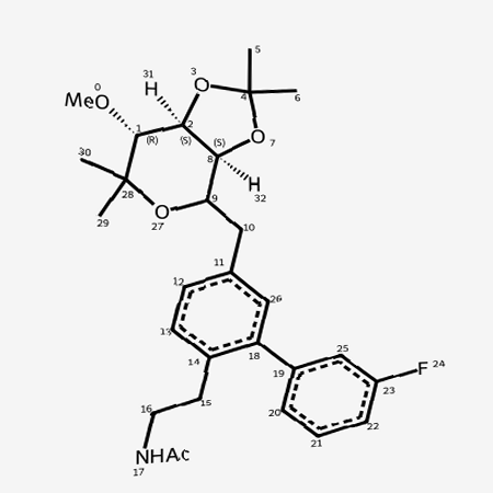 CO[C@@H]1[C@H]2OC(C)(C)O[C@H]2C(Cc2ccc(CCNC(C)=O)c(-c3cccc(F)c3)c2)OC1(C)C